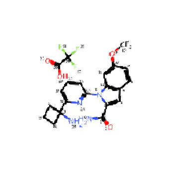 NC(=O)c1cc2ccc(OC(F)(F)F)cc2n1-c1cccc(C2(N)CCC2)n1.O=C(O)C(F)(F)F